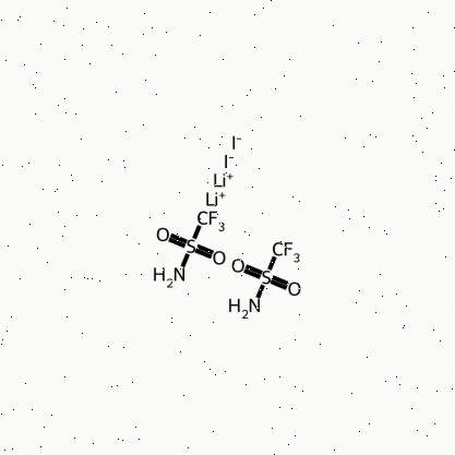 NS(=O)(=O)C(F)(F)F.NS(=O)(=O)C(F)(F)F.[I-].[I-].[Li+].[Li+]